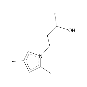 Cc1cc(C)n(CC[C@H](C)O)c1